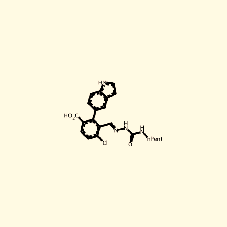 CCCCCNC(=O)NN=Cc1c(Cl)ccc(C(=O)O)c1-c1ccc2[nH]ccc2c1